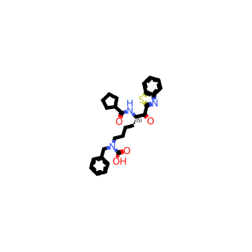 O=C(N[C@@H](CCCCN(Cc1ccccc1)C(=O)O)C(=O)c1nc2ccccc2s1)C1CCCC1